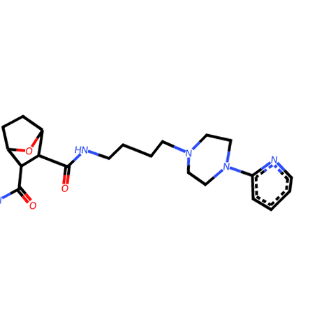 NC(=O)C1C2CCC(O2)C1C(=O)NCCCCN1CCN(c2ccccn2)CC1